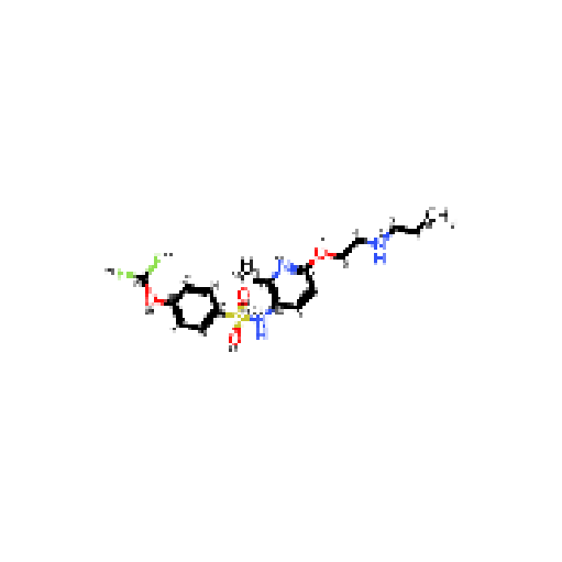 CCCNCCOc1ccc(NS(=O)(=O)c2ccc(OC(F)F)cc2)c(C)n1